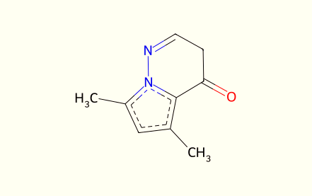 Cc1cc(C)n2c1C(=O)CC=N2